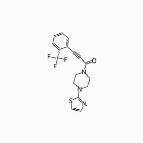 O=C(C#Cc1ccccc1C(F)(F)F)N1CCN(c2nccs2)CC1